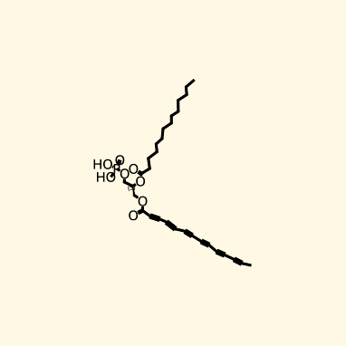 CC#CC#CC#CC#CC#CC#CC(=O)OC[C@@H](COP(=O)(O)O)OC(=O)CCCCCCCCCCCCC